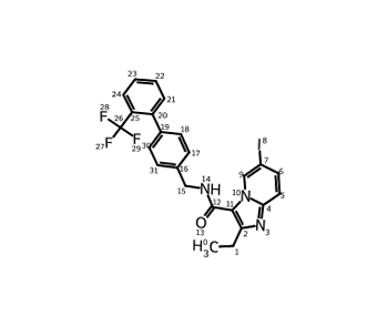 CCc1nc2ccc(I)cn2c1C(=O)NCc1ccc(-c2ccccc2C(F)(F)F)cc1